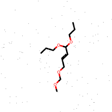 CCCOC(C=CCOCOC)OCCC